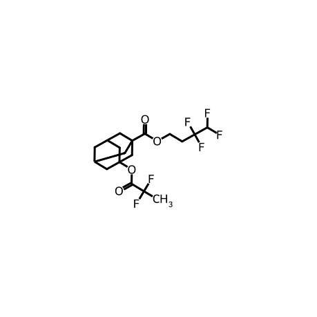 CC(F)(F)C(=O)OC12CC3CC(C1)CC(C(=O)OCCC(F)(F)C(F)F)(C3)C2